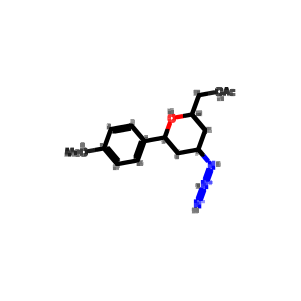 COc1ccc(C2[CH]C(N=[N+]=[N-])[CH]C(COC(C)=O)O2)cc1